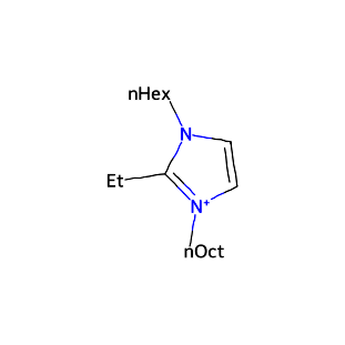 CCCCCCCC[n+]1ccn(CCCCCC)c1CC